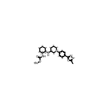 Cc1nnc(-c2ccc(N3CCCC(N[C@@H]4CCCC[C@H]4NC(=O)OC(C)(C)C)C3)cc2)o1